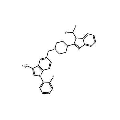 Cc1nn(-c2ccccc2F)c2ccc(CN3CCC(c4nc5ccccc5n4C(F)F)CC3)cc12